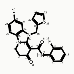 O=C1CCN2C(=C1C(=O)Nc1ccccc1F)N(Cc1cccs1)c1cc(F)ccc12